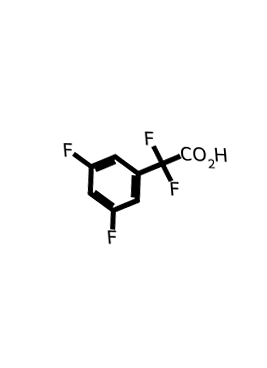 O=C(O)C(F)(F)c1cc(F)cc(F)c1